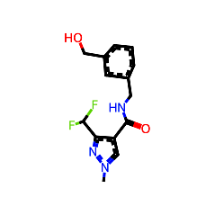 Cn1cc(C(=O)NCc2cccc(CO)c2)c(C(F)F)n1